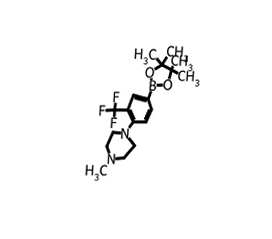 CN1CCN(c2ccc(B3OC(C)(C)C(C)(C)O3)cc2C(F)(F)F)CC1